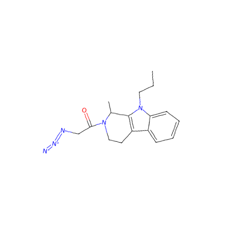 CCCn1c2c(c3ccccc31)CCN(C(=O)CN=[N+]=[N-])C2C